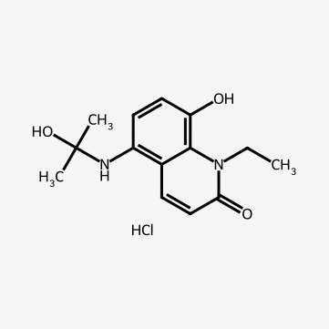 CCn1c(=O)ccc2c(NC(C)(C)O)ccc(O)c21.Cl